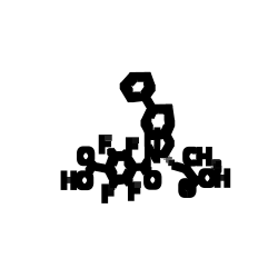 C[C@H](C[C@@H](Cc1ccc(-c2ccccc2)cc1)NC(=O)c1c(F)c(F)c(C(=O)O)c(F)c1F)C(=O)O